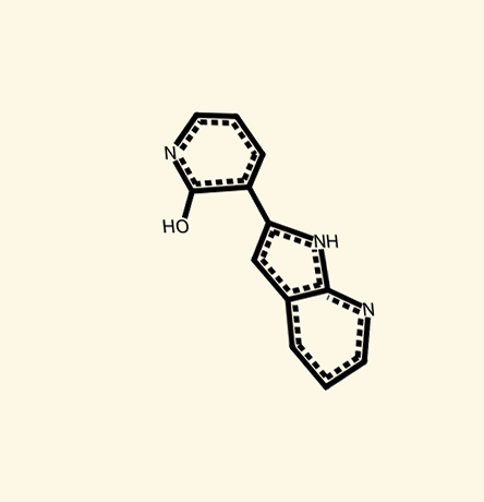 Oc1ncccc1-c1cc2cccnc2[nH]1